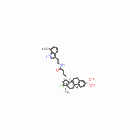 Cc1cccc2c(CCNC(=O)CCC[C@H]3CC(F)(F)[C@@]4(C)CC[C@@H]5c6ccc(B(O)O)cc6CC[C@H]5[C@H]34)c[nH]c12